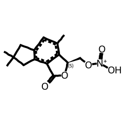 Cc1cc2c(c3c1[C@@H](CO[N+](=O)O)OC3=O)CC(C)(C)C2